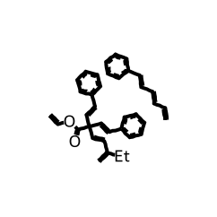 C=CC=CC=Cc1ccccc1.C=COC(=O)C(C=CC(=C)CC)(C=Cc1ccccc1)C=Cc1ccccc1